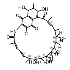 C/C1=C/C=C/[C@H](C)[C@H](O)[C@@H](C)[C@@H](O)[C@@H](C)[C@H](O)[C@H](C)[C@@H](O)C(C)/C=C(/C)C(=O)C2=C(O)C(C)C(O)C3=C2C(=O)C(Cl)=C(NC1=O)C3=O